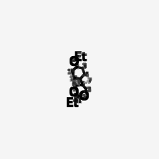 CCOC1CCC([C@]2(C)CO[C@H](CC)OC2)CC1